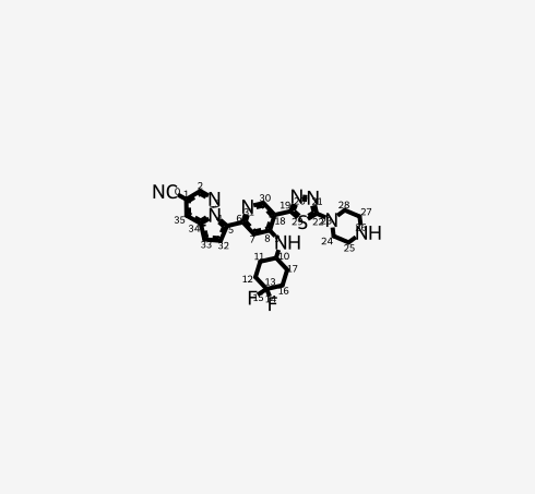 N#Cc1cnn2c(-c3cc(NC4CCC(F)(F)CC4)c(-c4nnc(N5CCNCC5)s4)cn3)ccc2c1